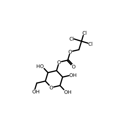 O=C(OCC(Cl)(Cl)Cl)OC1C(O)C(O)OC(CO)C1O